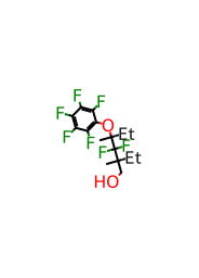 CCC(C)(CO)C(F)(F)C(C)(CC)Oc1c(F)c(F)c(F)c(F)c1F